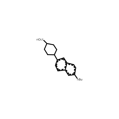 CCCCCCCCC1CCC(c2ccc3cc(CCCC)ccc3c2)CC1